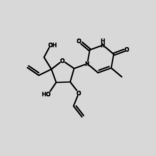 C=COC1C(n2cc(C)c(=O)[nH]c2=O)OC(C=C)(CO)C1O